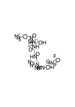 Cc1ncsc1-c1ccc(CNC(=O)[C@@H]2C[C@@H](O)CN2C(=O)[C@@H](NC(=O)CCC(=O)NCCCn2c(CNc3cccc(C(=O)NCc4c(F)cccc4F)c3)nnc2-c2ccncn2)C(C)(C)C)cc1